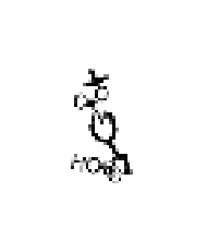 CC(C)(C)OC(=O)N1CCC(C2=CCOB2O)CC1